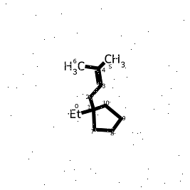 C[CH]C1(CC=C(C)C)CCCC1